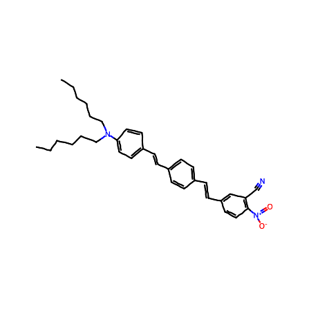 CCCCCCN(CCCCCC)c1ccc(C=Cc2ccc(C=Cc3ccc([N+](=O)[O-])c(C#N)c3)cc2)cc1